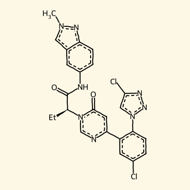 CC[C@@H](C(=O)Nc1ccc2nn(C)cc2c1)n1cnc(-c2cc(Cl)ccc2-n2cc(Cl)nn2)cc1=O